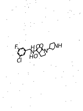 O=C(NCc1cc(F)cc(Cl)c1)[C@]1(O)CCN(C2CCNC2)C1=O